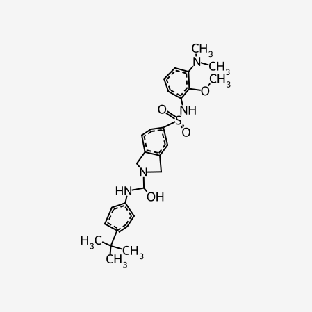 COc1c(NS(=O)(=O)c2ccc3c(c2)CN(C(O)Nc2ccc(C(C)(C)C)cc2)C3)cccc1N(C)C